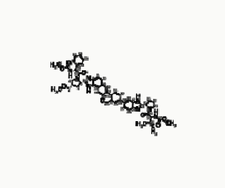 COC[C@H]1C[C@@H](c2nc3ccc4cc5c(cc4c3[nH]2)OCc2cc(-c3ccc4nc(C6CCCN6C(=O)[C@@H](NC(=O)OC)C(C)C)[nH]c4c3)ccc2-5)N(C(=O)[C@H](NC(=O)OC)c2ccccc2)C1